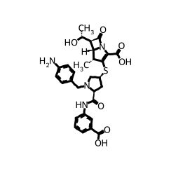 C[C@@H](O)[C@H]1C(=O)N2C(C(=O)O)=C(S[C@H]3C[C@@H](C(=O)Nc4cccc(C(=O)O)c4)N(Cc4ccc(N)cc4)C3)[C@H](C)[C@H]12